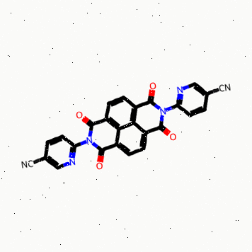 N#Cc1ccc(N2C(=O)c3ccc4c5c(ccc(c35)C2=O)C(=O)N(c2ccc(C#N)cn2)C4=O)nc1